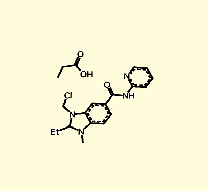 CCC(=O)O.CCC1N(C)c2ccc(C(=O)Nc3ccccn3)cc2N1CCl